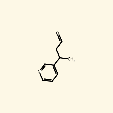 CC(CC=O)c1cccnc1